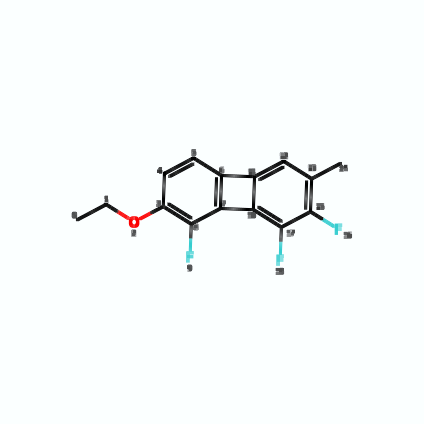 CCOc1ccc2c(c1F)-c1c-2cc(C)c(F)c1F